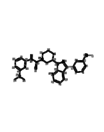 COc1cccc(-c2nn(C3CCCN(C(=O)Nc4cccc(N(C)C)c4)C3)c3ncccc23)c1